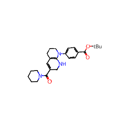 CC(C)(C)OC(=O)c1ccc(N2CCCC3=C2NCC(C(=O)N2CCCCC2)=C3)cc1